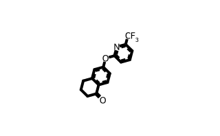 O=C1CCCc2cc(Oc3cccc(C(F)(F)F)n3)ccc21